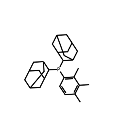 Cc1ccc(P(C2C3CC4CC(C3)CC2C4)C2C3CC4CC(C3)CC2C4)c(C)c1C